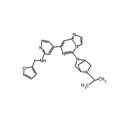 CC(C)N1CC2CC1CN2c1nc(-c2ccnc(NCc3ccco3)c2)cc2nccn12